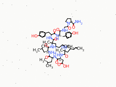 C=CCCCC(C)(NC)C(=O)N[C@@H](CC(=O)O)C(=O)N[C@@H](CC(C)C)C(=O)N[C@@H](CC(C)C)C(=O)NC(C)(CCCC=C)C(=O)NC(Cc1ccc(O)cc1)C(=O)N[C@@H](Cc1ccc(O)cc1)C(=O)NCC(=O)N1CCC[C@H]1C(N)=O